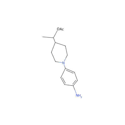 CC(=O)OC(C)C1CCN(c2ccc(N)cc2)CC1